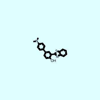 CN(C)c1ccc(-c2ccc(O)c(-c3nc4ccccc4s3)c2)cc1